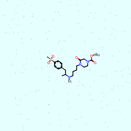 CCN(CCCCN1CCN(C(=O)OC(C)(C)C)CC1=O)C(C)Cc1ccc(S(C)(=O)=O)cc1